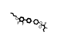 CCCCOc1ccc(-c2ccc([C@H]3CC[C@H](OC(=O)[C@@H](F)[C@@H](C)CC)CC3)cc2)c(F)c1F